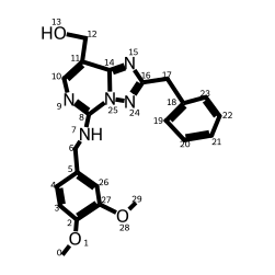 COc1ccc(CNc2ncc(CO)c3nc(Cc4ccccc4)nn23)cc1OC